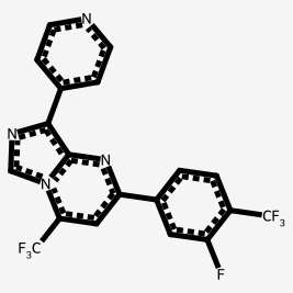 Fc1cc(-c2cc(C(F)(F)F)n3cnc(-c4ccncc4)c3n2)ccc1C(F)(F)F